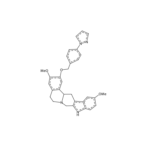 COc1ccc2[nH]c3c(c2c1)CC1c2cc(OCc4ccc(-n5cccn5)cc4)c(OC)cc2CCN1C3